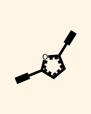 C#Cc1ccc(C#C)o1